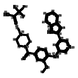 COc1cc(C(=O)N2CCN(C)CC2)ccc1Nc1cncc(-c2cc3ccccc3[nH]2)c1.O=C(O)C(F)(F)F